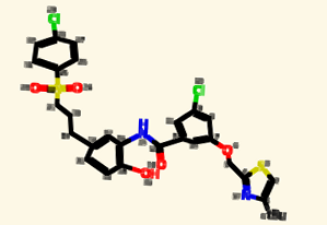 CC(C)(C)c1csc(COc2cc(Cl)cc(C(=O)Nc3cc(CCCS(=O)(=O)c4ccc(Cl)cc4)ccc3O)c2)n1